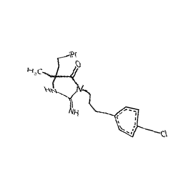 CC(C)CC1(C)NC(=N)N(CCc2ccc(Cl)cc2)C1=O